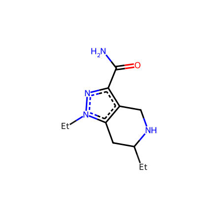 CCC1Cc2c(c(C(N)=O)nn2CC)CN1